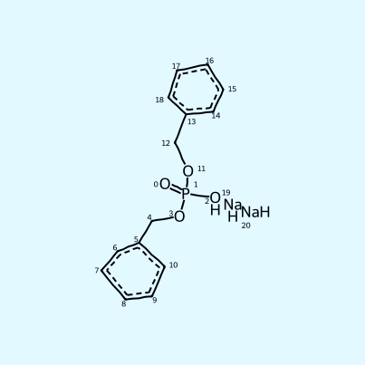 O=P(O)(OCc1ccccc1)OCc1ccccc1.[NaH].[NaH]